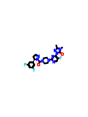 Cc1nn(-c2nc(N3CCN(C(=O)N4N=CC[C@H]4c4cc(F)cc(F)c4)CC3)ncc2F)c(=O)n1C